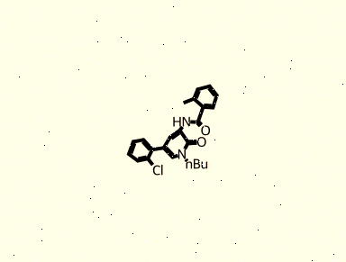 CCCCn1cc(-c2ccccc2Cl)cc(NC(=O)c2ccccc2C)c1=O